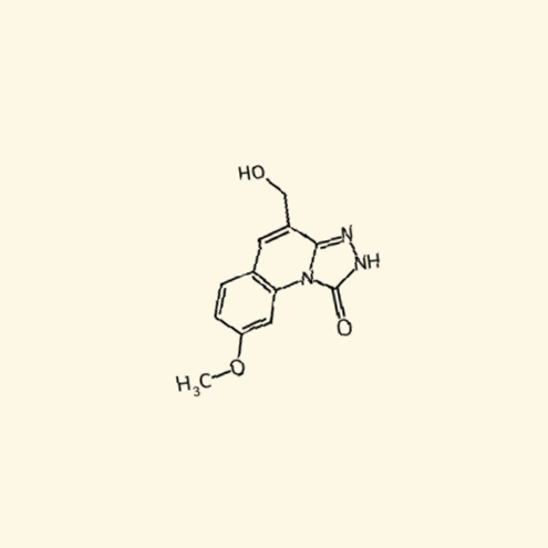 COc1ccc2cc(CO)c3n[nH]c(=O)n3c2c1